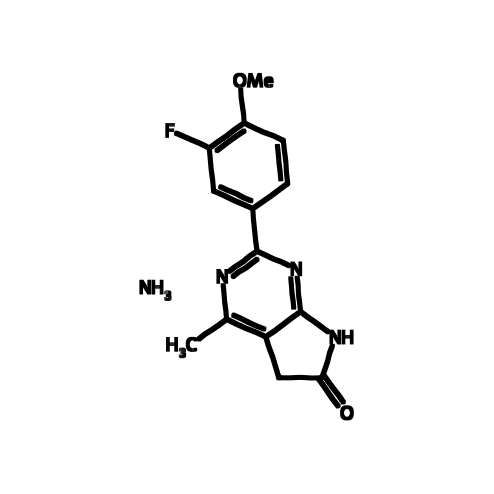 COc1ccc(-c2nc(C)c3c(n2)NC(=O)C3)cc1F.N